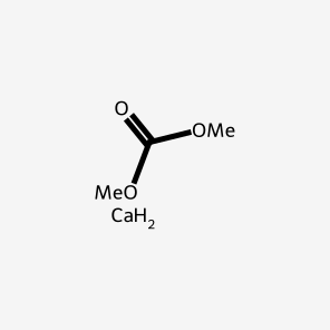 COC(=O)OC.[CaH2]